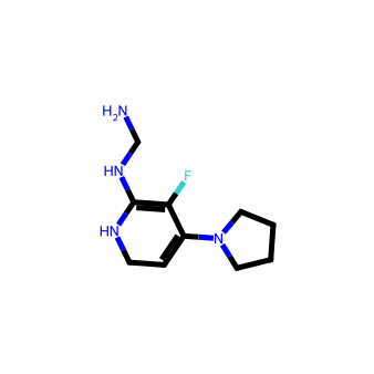 NCNC1=C(F)C(N2CCCC2)=CCN1